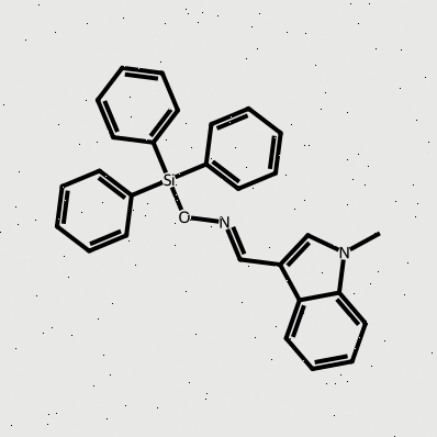 Cn1cc(C=NO[Si](c2ccccc2)(c2ccccc2)c2ccccc2)c2ccccc21